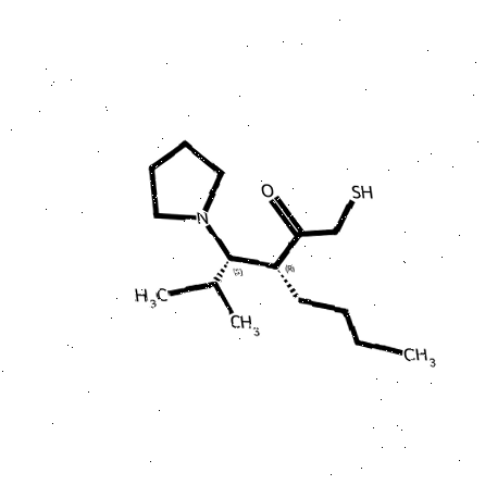 CCCC[C@@H](C(=O)CS)[C@H](C(C)C)N1CCCC1